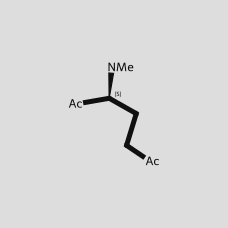 CN[C@@H](CCC(C)=O)C(C)=O